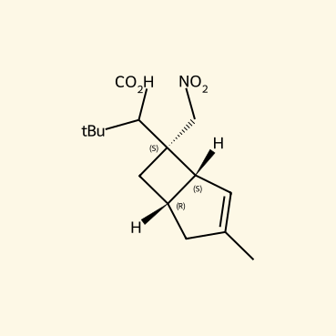 CC1=C[C@@H]2[C@H](C1)C[C@@]2(C[N+](=O)[O-])C(C(=O)O)C(C)(C)C